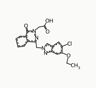 CCOc1cc2nn(Cc3nn(CC(=O)O)c(=O)c4ccccc34)cc2cc1Cl